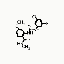 CNC(=O)c1ccc(OC)cc1NC(=O)Nc1cc(F)cc(Cl)c1